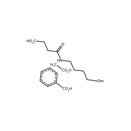 CC(=O)O.CCCCCCCCCCCCCCNC(=O)CCC(=O)O.O=C(O)c1ccccc1